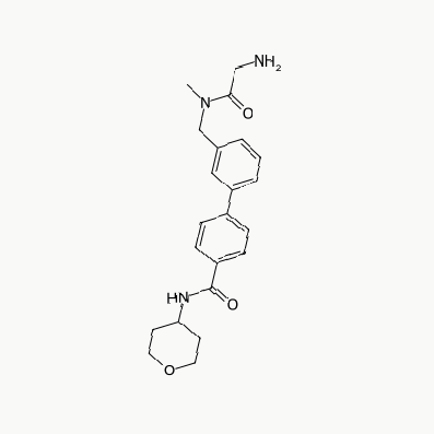 CN(Cc1cccc(-c2ccc(C(=O)NC3CCOCC3)cc2)c1)C(=O)CN